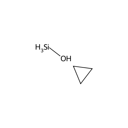 C1CC1.O[SiH3]